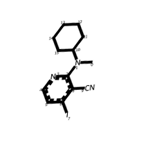 CN(c1nccc(I)c1C#N)C1CCCCC1